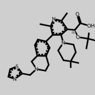 Cc1nc(C)c([C@H](OC(C)(C)C)C(=O)O)c(N2CCC(C)(C)CC2)c1-c1ccc2c(c1)CCN(Cc1nccs1)C2